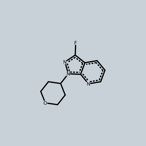 Fc1nn(C2CCOCC2)c2ncccc12